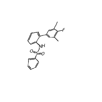 Cc1cc(-c2ccccc2NS(=O)(=O)c2ccccc2)cc(C)c1F